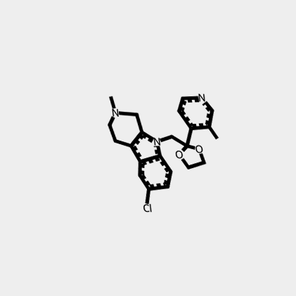 Cc1cnccc1C1(Cn2c3c(c4cc(Cl)ccc42)CCN(C)C3)OCCO1